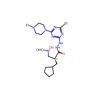 CCc1nc(NNC(=O)[C@@H](CC2CCCC2)CN(O)C=O)nc(N2CCN(CC)CC2)n1